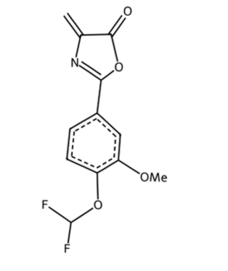 C=C1N=C(c2ccc(OC(F)F)c(OC)c2)OC1=O